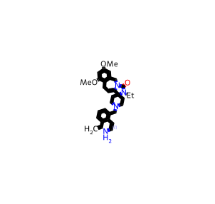 C=Cc1cccc(CN2CCC3(CC2)C2=CCc4c(cc(OC)cc4OC)CN2C(=O)N3CC)c1/C=C\N